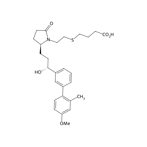 COc1ccc(-c2cccc([C@H](O)CC[C@H]3CCC(=O)N3CCSCCCC(=O)O)c2)c(C)c1